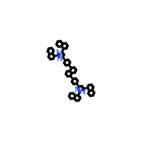 c1ccc2c(-c3cc(-c4ccc(-c5cccc6c(-c7ccc(-c8cc(-c9cccc%10ccccc9%10)nc(-c9cccc%10ccccc9%10)n8)cc7)cccc56)cc4)nc(-c4cccc5ccccc45)n3)cccc2c1